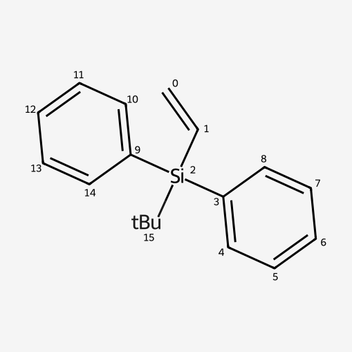 C=C[Si](c1ccccc1)(c1ccccc1)C(C)(C)C